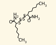 CCCCCCC(SSSSC(CCCCCC)C(N)=O)C(N)=O